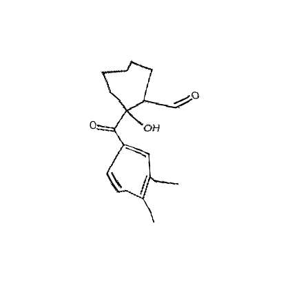 Cc1ccc(C(=O)C2(O)CCCCC2[C]=O)cc1C